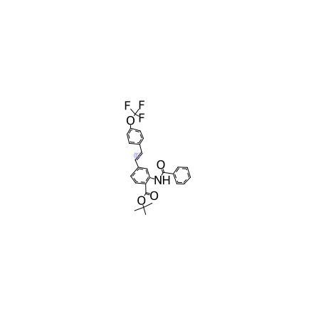 CC(C)(C)OC(=O)c1ccc(/C=C/c2ccc(OC(F)(F)F)cc2)cc1NC(=O)c1ccccc1